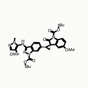 COc1ccc2c(c1)[C@]1(C[C@H]1c1ccc3c(Nc4c(OC)cnn4C)nn(C(=O)OC(C)(C)C)c3c1)C(=O)N2C(=O)OC(C)(C)C